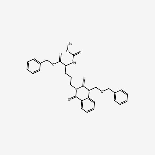 CC(C)(C)OC(=O)NC(CCCn1c(=O)c2ccccc2n(COCc2ccccc2)c1=O)C(=O)OCc1ccccc1